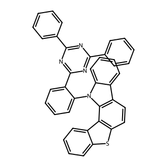 c1ccc(-c2nc(-c3ccccc3)nc(-c3ccccc3-n3c4ccccc4c4ccc5sc6ccccc6c5c43)n2)cc1